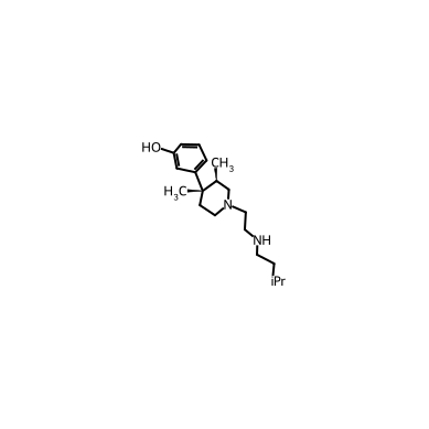 CC(C)CCNCCN1CC[C@](C)(c2cccc(O)c2)[C@@H](C)C1